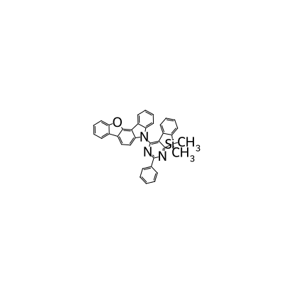 C[Si]1(C)c2ccccc2-c2c(-n3c4ccccc4c4c5oc6ccccc6c5ccc43)nc(-c3ccccc3)nc21